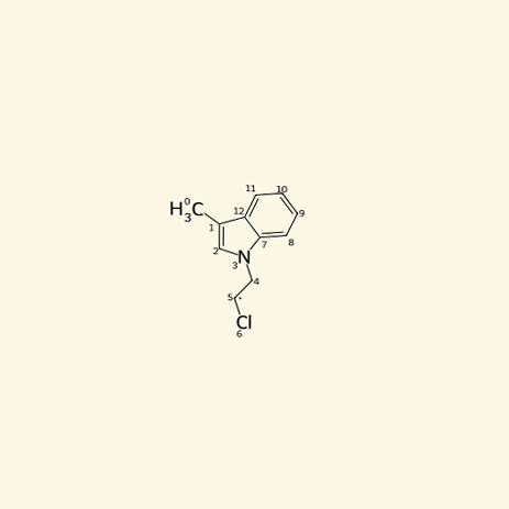 Cc1cn(C[CH]Cl)c2ccccc12